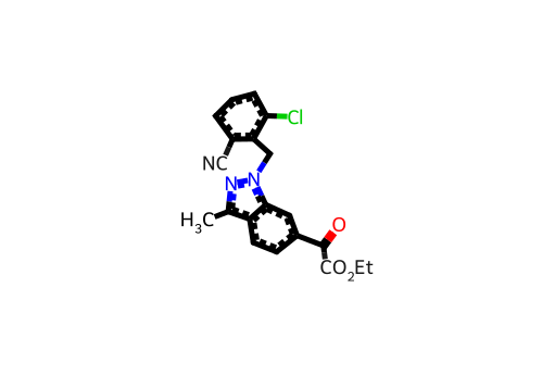 CCOC(=O)C(=O)c1ccc2c(C)nn(Cc3c(Cl)cccc3C#N)c2c1